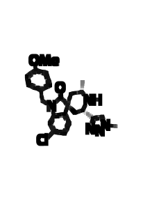 COc1ccc(CN2C(=O)[C@@]3(C[C@@H](c4cn(C)nn4)N[C@@H](C)C3)c3ccc(Cl)cc32)cc1